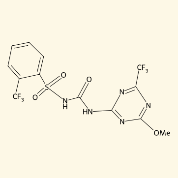 COc1nc(NC(=O)NS(=O)(=O)c2ccccc2C(F)(F)F)nc(C(F)(F)F)n1